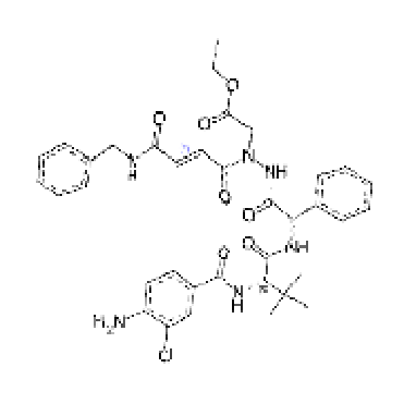 CCOC(=O)CN(NC(=O)C(NC(=O)[C@@H](NC(=O)c1ccc(N)c(Cl)c1)C(C)(C)C)c1ccccc1)C(=O)/C=C/C(=O)NCc1ccccc1